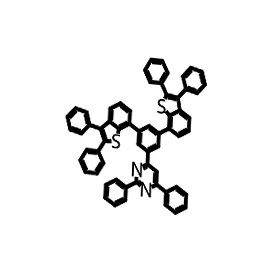 c1ccc(-c2cc(-c3cc(-c4cccc5c(-c6ccccc6)c(-c6ccccc6)sc45)cc(-c4cccc5c(-c6ccccc6)c(-c6ccccc6)sc45)c3)nc(-c3ccccc3)n2)cc1